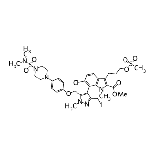 COC(=O)c1c(CCCOS(C)(=O)=O)c2ccc(Cl)c(-c3c(CI)nn(C)c3COc3ccc(N4CCN(S(=O)(=O)N(C)C)CC4)cc3)c2n1C